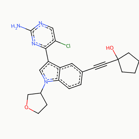 Nc1ncc(Cl)c(-c2cn(C3CCOC3)c3ccc(C#CC4(O)CCCC4)cc23)n1